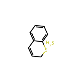 C1=Cc2ccccc2SC1.S